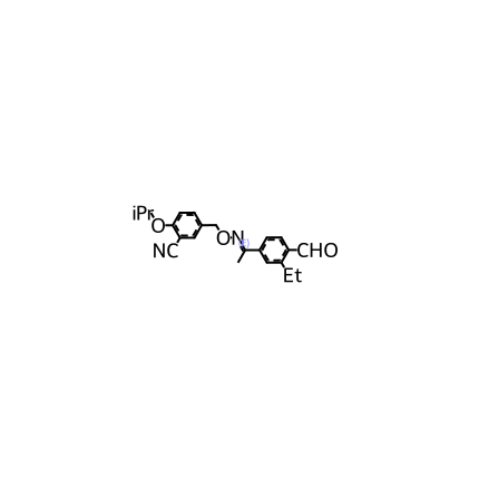 CCc1cc(/C(C)=N/OCc2ccc(OC(C)C)c(C#N)c2)ccc1C=O